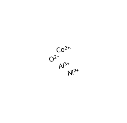 [Al+3].[Co+2].[Ni+2].[O-2]